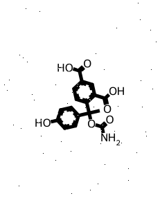 CC(OC(N)=O)(c1ccc(O)cc1)c1ccc(C(=O)O)cc1C(=O)O